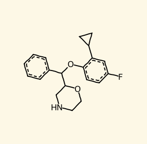 Fc1ccc(OC(c2ccccc2)C2CNCCO2)c(C2CC2)c1